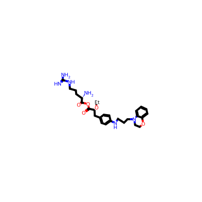 CCOC(Cc1ccc(NCCCN2CCOc3ccccc32)cc1)C(=O)OC(=O)[C@@H](N)CCCNC(=N)N